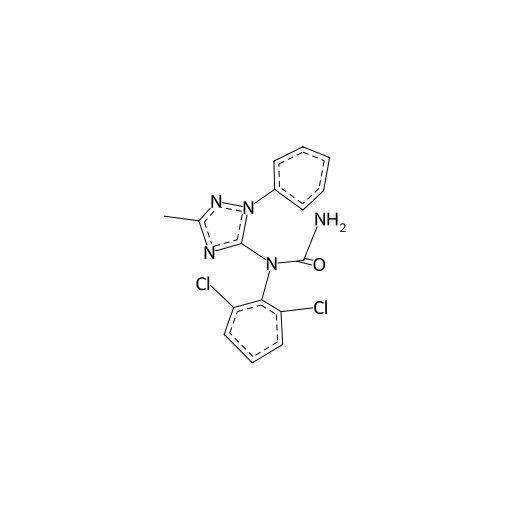 Cc1nc(N(C(N)=O)c2c(Cl)cccc2Cl)n(-c2ccccc2)n1